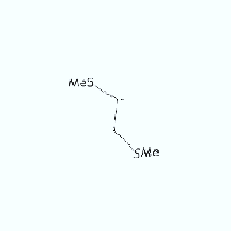 CS[CH]CSC